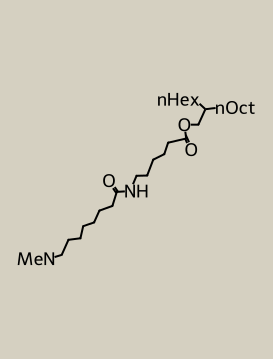 CCCCCCCCC(CCCCCC)COC(=O)CCCCCNC(=O)CCCCCCCNC